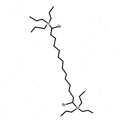 CCC[N+](CCC)(CCC)C(Br)CCCCCCCCCCCCC(Br)[N+](CCC)(CCC)CCC